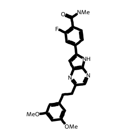 CNC(=O)c1ccc(-c2cc3nc(CCc4cc(OC)cc(OC)c4)cnc3[nH]2)cc1F